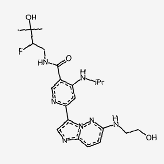 CC(C)Nc1cc(-c2cnc3ccc(NCCO)nn23)ncc1C(=O)NCC(F)C(C)(C)O